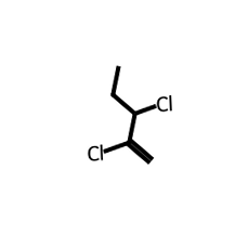 C=C(Cl)C(Cl)CC